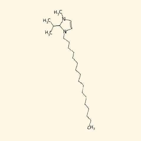 CCCCCCCCCCCCCCCCCN1C=CN(C)C1C(C)C